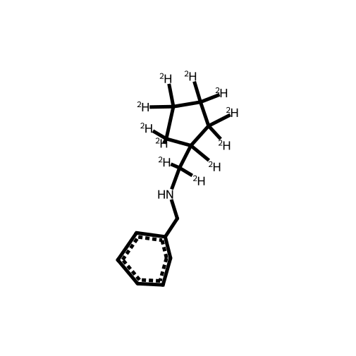 [2H]C([2H])(NCc1ccccc1)C1([2H])C([2H])([2H])C([2H])([2H])C([2H])([2H])C1([2H])[2H]